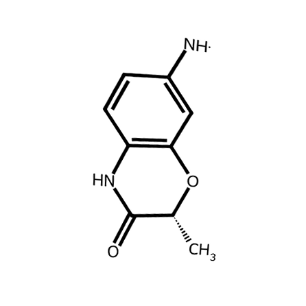 C[C@H]1Oc2cc([NH])ccc2NC1=O